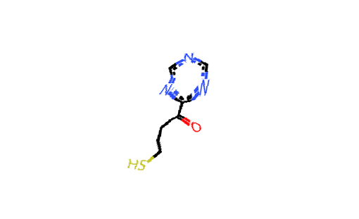 O=C(CCS)c1ncncn1